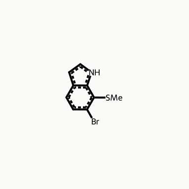 CSc1c(Br)ccc2cc[nH]c12